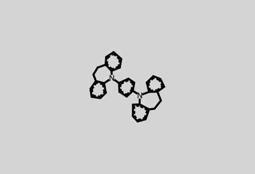 c1ccc2c(c1)CCc1ccccc1N2c1ccc(N2c3ccccc3CCc3ccccc32)cc1